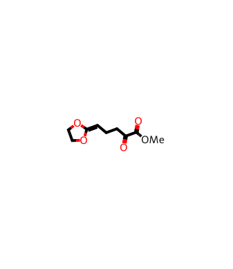 COC(=O)C(=O)CCC=C1OCCO1